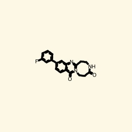 O=C1CCn2c(nc3cc(-c4cccc(F)c4)ccc3c2=O)CCN1